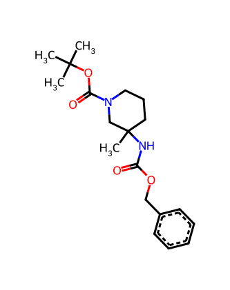 CC1(NC(=O)OCc2ccccc2)CCCN(C(=O)OC(C)(C)C)C1